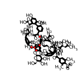 CN[C@@H](CC(C)C)C(=O)N[C@H]1C(=O)N[C@@H](CC(N)=O)C(=O)NC2C(=O)N[C@@H]3C(=O)N[C@@H](C(=O)N[C@@H](C(=O)O)c4cc(O)cc(O)c4-c4cc3ccc4O)[C@H](O)c3ccc(c(Cl)c3)Oc3cc2cc(c3OC2O[C@@H](CO)[C@@H](O)[C@@H](O)[C@H]2O[C@H]2CC(C)(NCCn3ccc(NC(=O)c4cc(C)c([N+](=O)[O-])c(C)c4)nc3=O)[C@@H](O)[C@@H](C)O2)Oc2ccc(cc2Cl)[C@H]1O